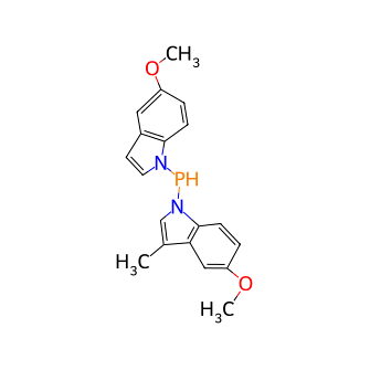 COc1ccc2c(ccn2Pn2cc(C)c3cc(OC)ccc32)c1